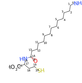 NCCCCCCCCCCCCCC(=O)NC(CCS)C(=O)O